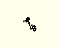 c1ccc2c3c(ccc2c1)CN(CCCCc1c[nH]c2ccccc12)CC3